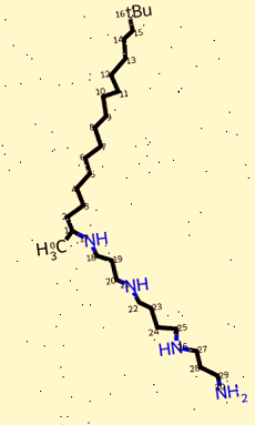 CC(CCCCCCCCCCCCCCC(C)(C)C)NCCCNCCCCNCCCN